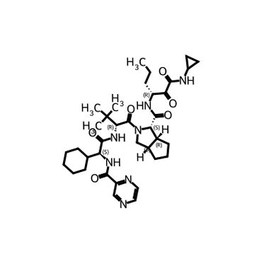 CCC[C@@H](NC(=O)[C@@H]1[C@@H]2CCC[C@@H]2CN1C(=O)[C@H](NC(=O)[C@@H](NC(=O)c1cnccn1)C1CCCCC1)C(C)(C)C)C(=O)C(=O)NC1CC1